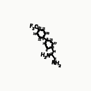 NCC(N)Cc1ccc(-c2ccc(C(F)(F)F)cc2)cc1